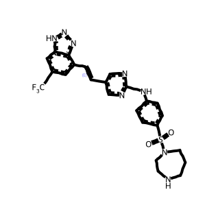 O=S(=O)(c1ccc(Nc2ncc(/C=C/c3cc(C(F)(F)F)cc4[nH]nnc34)cn2)cc1)N1CCCNCC1